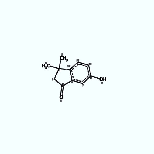 CC1(C)CC(=O)c2cc(O)ccc21